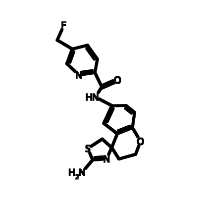 NC1=NC2(CCOc3ccc(NC(=O)c4ccc(CF)cn4)cc32)CS1